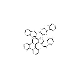 c1ccc2cc(-c3nc4oc5ccccc5c4nc3-n3c4ccc5c6ccccc6c6ccccc6c5c4c4ccc5ccccc5c43)ccc2c1